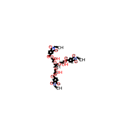 C#CCN1C(=O)c2ccc(C(=O)OCC(O)COCC(CC)(COCC(O)COC(=O)c3ccc4c(c3)C(=O)N(CC#C)C4=O)COCC(O)COC(=O)c3ccc4c(c3)C(=O)N(CC#C)C4=O)cc2C1=O